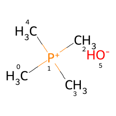 C[P+](C)(C)C.[OH-]